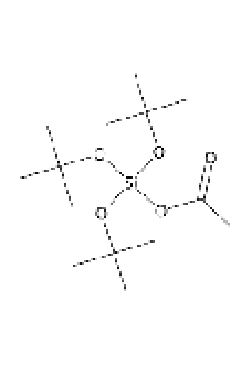 CC(=O)O[Si](OC(C)(C)C)(OC(C)(C)C)OC(C)(C)C